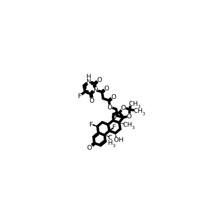 CC1(C)OC2CC3C4C[C@H](F)C5=CC(=O)C=C[C@]5(C)[C@@]4(F)[C@@H](O)C[C@]3(C)C2(C(=O)COC(=O)CC(=O)n2c(=O)[nH]cc(F)c2=O)O1